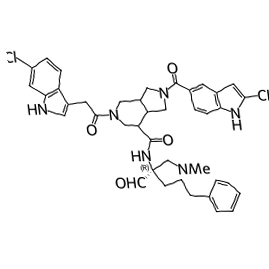 CNC[C@@](C=O)(CCCc1ccccc1)NC(=O)C1CN(C(=O)Cc2c[nH]c3cc(Cl)ccc23)CC2CN(C(=O)c3ccc4[nH]c(C)cc4c3)CC21